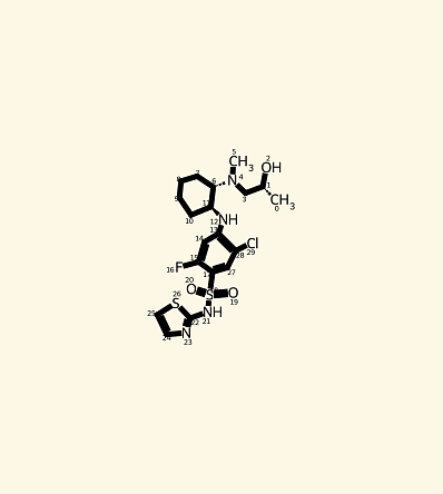 C[C@@H](O)CN(C)[C@H]1CCCC[C@@H]1Nc1cc(F)c(S(=O)(=O)Nc2nccs2)cc1Cl